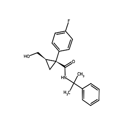 CC(C)(NC(=O)[C@@]1(c2ccc(F)cc2)C[C@H]1CO)c1ccccc1